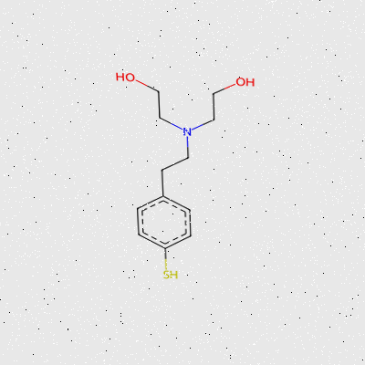 OCCN(CCO)CCc1ccc(S)cc1